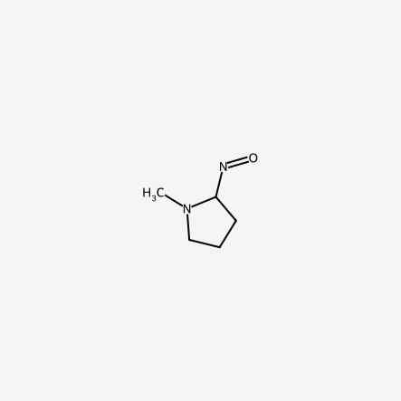 CN1CCCC1N=O